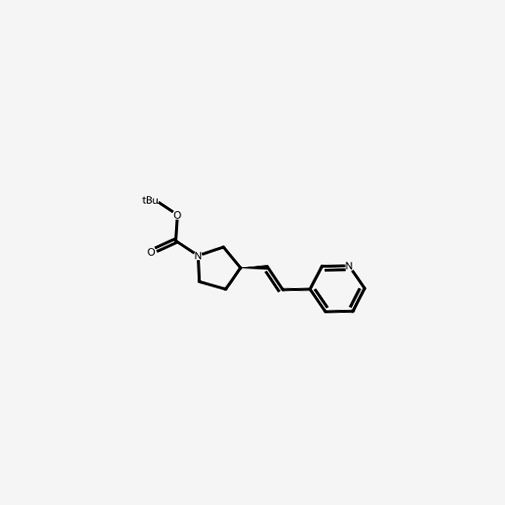 CC(C)(C)OC(=O)N1CC[C@H](/C=C/c2cccnc2)C1